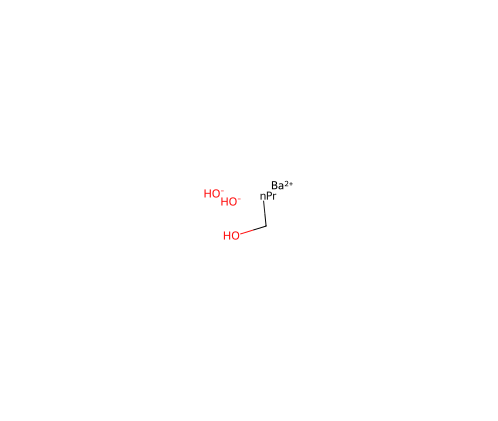 CCCCO.[Ba+2].[OH-].[OH-]